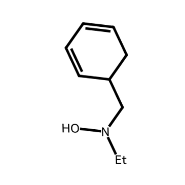 CCN(O)CC1C=CC=CC1